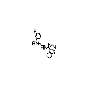 CC(NCCCNc1ncnc2sc3c(c12)CCCC3)c1cccc(F)c1